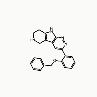 c1ccc(COc2ccccc2-c2cc3c4c([nH]c3nn2)CCNC4)cc1